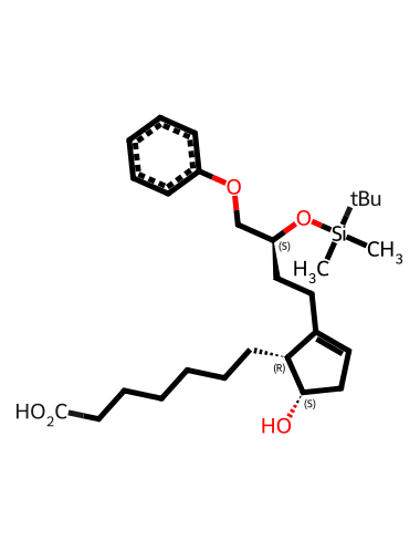 CC(C)(C)[Si](C)(C)O[C@@H](CCC1=CC[C@H](O)[C@@H]1CCCCCCC(=O)O)COc1ccccc1